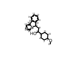 COC1CCC(C(O)CC2c3ccccc3-c3cncn32)CC1